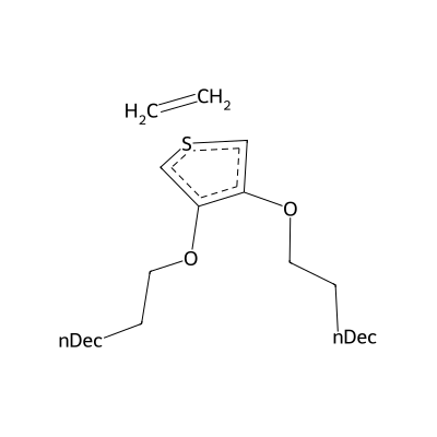 C=C.CCCCCCCCCCCCOc1cscc1OCCCCCCCCCCCC